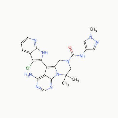 Cn1cc(NC(=O)N2Cc3c(-c4[nH]c5ncccc5c4Cl)c4c(N)ncnc4n3C(C)(C)C2)cn1